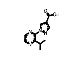 CC(C)c1nccnc1-n1cc(C(=O)O)cn1